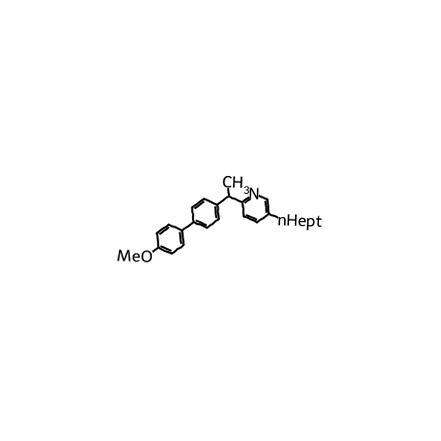 CCCCCCCc1ccc(C(C)c2ccc(-c3ccc(OC)cc3)cc2)nc1